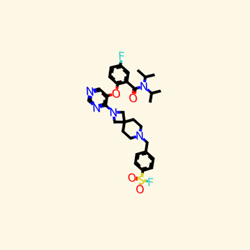 CC(C)N(C(=O)c1cc(F)ccc1Oc1cncnc1N1CC2(CCN(Cc3ccc(S(=O)(=O)F)cc3)CC2)C1)C(C)C